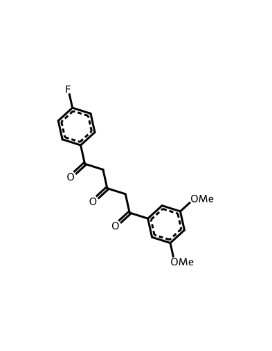 COc1cc(OC)cc(C(=O)CC(=O)CC(=O)c2ccc(F)cc2)c1